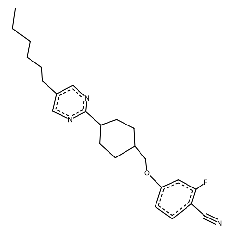 CCCCCCc1cnc(C2CCC(COc3ccc(C#N)c(F)c3)CC2)nc1